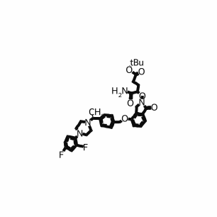 C[C@H](c1ccc(COc2cccc3c2CN(OC(CCC(=O)OC(C)(C)C)C(N)=O)C3=O)cc1)N1CCN(c2ccc(F)cc2F)CC1